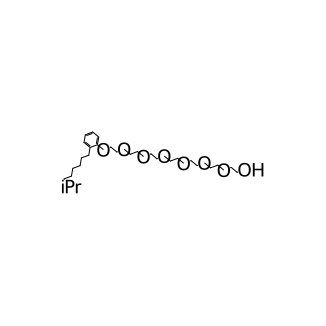 CC(C)CCCCCCc1ccccc1OCCOCCOCCOCCOCCOCCOCCO